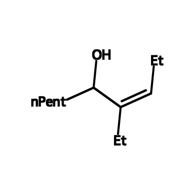 CCC=C(CC)C(O)CCCCC